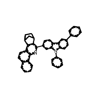 c1ccc(-c2ccc3c(c2)c2ccc(-c4nc5c(ccc6ccccc65)c5c4C4CCC5C4)cc2n3-c2ccccc2)cc1